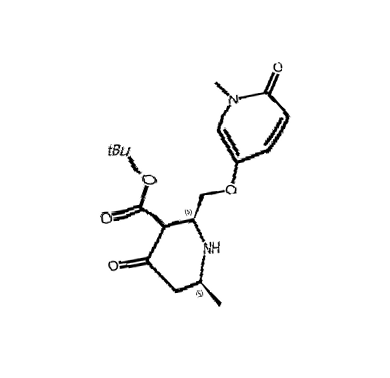 C[C@H]1CC(=O)C(C(=O)OC(C)(C)C)[C@@H](COc2ccc(=O)n(C)c2)N1